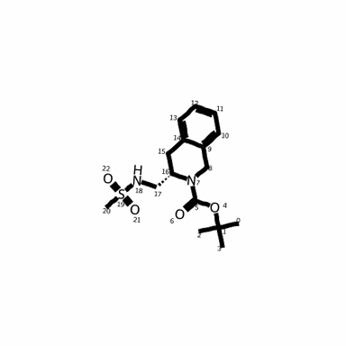 CC(C)(C)OC(=O)N1Cc2ccccc2C[C@H]1CNS(C)(=O)=O